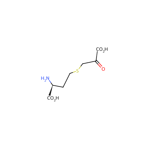 N[C@@H](CCSCC(=O)C(=O)O)C(=O)O